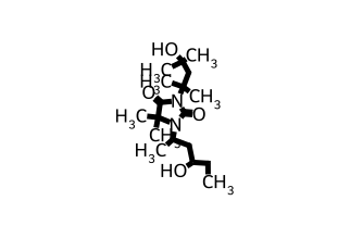 CCC(O)CC(C)N1C(=O)N(C(C)(C)CC(C)(C)O)C(=O)C1(C)C